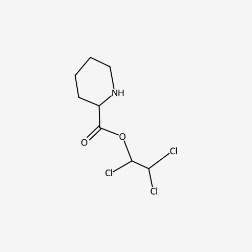 O=C(OC(Cl)C(Cl)Cl)C1CCCCN1